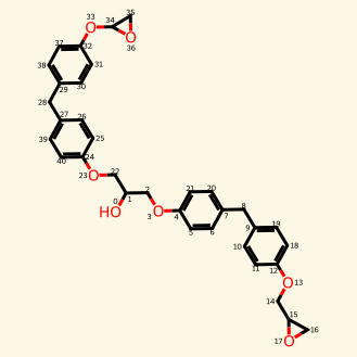 OC(COc1ccc(Cc2ccc(OCC3CO3)cc2)cc1)COc1ccc(Cc2ccc(OC3CO3)cc2)cc1